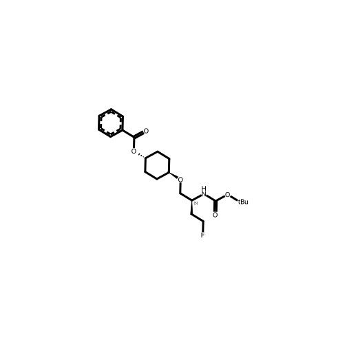 CC(C)(C)OC(=O)N[C@@H](CCF)CO[C@H]1CC[C@H](OC(=O)c2ccccc2)CC1